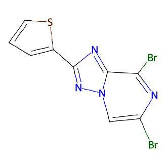 Brc1cn2nc(-c3cccs3)nc2c(Br)n1